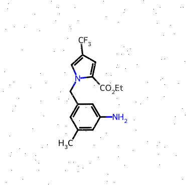 CCOC(=O)c1cc(C(F)(F)F)cn1Cc1cc(C)cc(N)c1